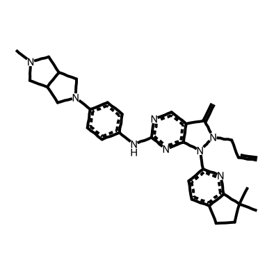 C=CCN1C(=C)c2cnc(Nc3ccc(N4CC5CN(C)CC5C4)cc3)nc2N1c1ccc2c(n1)C(C)(C)CC2